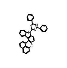 c1ccc(-c2nc(-c3ccccc3)nc(-n3c4ccccc4c4c5c(ccc43)Oc3cccc4cccc-5c34)n2)cc1